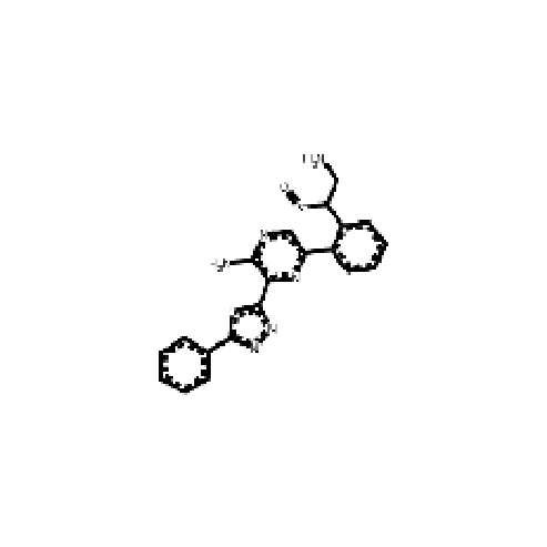 NCC([S+]=O)c1ccccc1-c1cnc(N)c(-c2nnc(-c3ccccc3)o2)n1